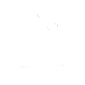 CCOC(=O)C(C(=O)OCC)c1ccc2ncnn2c1